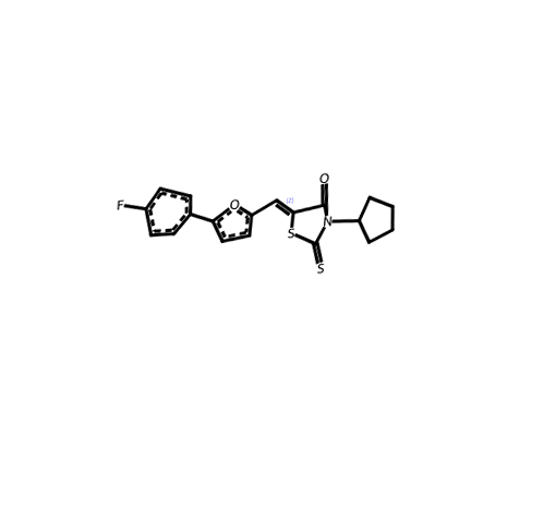 O=C1/C(=C/c2ccc(-c3ccc(F)cc3)o2)SC(=S)N1C1CCCC1